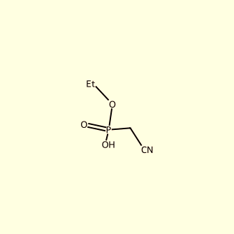 CCOP(=O)(O)CC#N